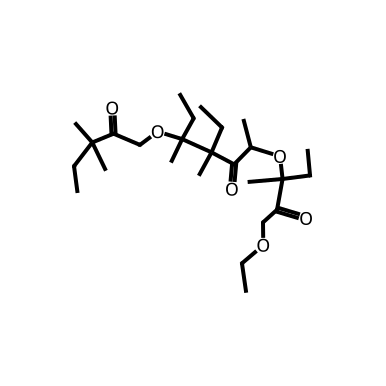 CCOCC(=O)C(C)(CC)OC(C)C(=O)C(C)(CC)C(C)(CC)OCC(=O)C(C)(C)CC